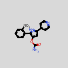 NC(=O)Oc1cc(-c2ccncc2)[nH]c1-c1ccccc1[N+](=O)[O-]